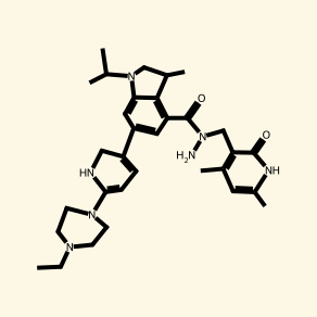 CCN1CCN(C2=CC=C(c3cc(C(=O)N(N)Cc4c(C)cc(C)[nH]c4=O)c4c(c3)N(C(C)C)CC4C)CN2)CC1